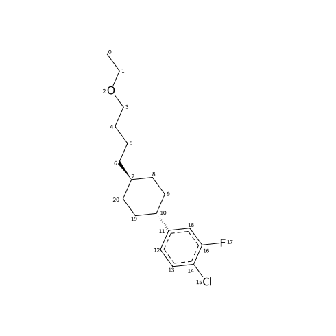 CCOCCCC[C@H]1CC[C@H](c2ccc(Cl)c(F)c2)CC1